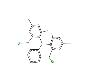 Cc1cc(C)c([C](c2ccccc2)c2c(C)cc(C)cc2CBr)c(CBr)c1